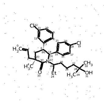 C=CC[C@@]1(C)C[C@H](c2cccc(Cl)c2)[C@@H](c2ccc(Cl)cc2)N(C(CC)CCCC(C)(C)O)C1=O